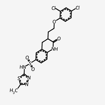 Cc1nnc(NS(=O)(=O)c2ccc3c(c2)CC(CCOc2ccc(Cl)cc2Cl)C(=O)N3)s1